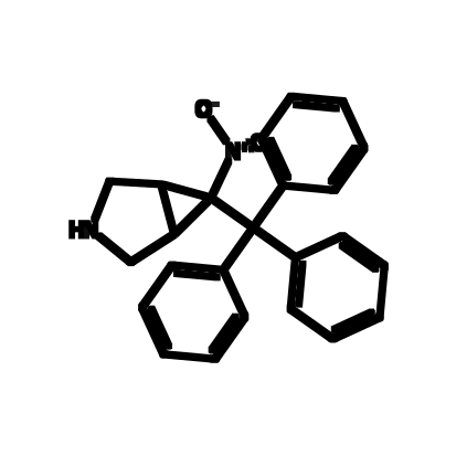 O=[N+]([O-])C1(C(c2ccccc2)(c2ccccc2)c2ccccc2)C2CNCC21